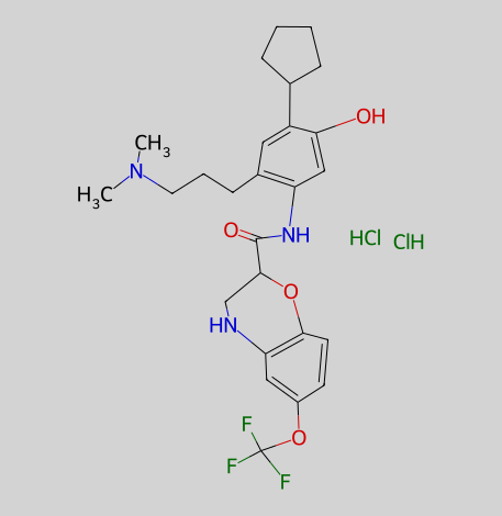 CN(C)CCCc1cc(C2CCCC2)c(O)cc1NC(=O)C1CNc2cc(OC(F)(F)F)ccc2O1.Cl.Cl